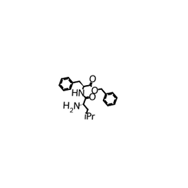 CC(C)C[C@H](N)C(=O)N[C@@H](Cc1ccccc1)C(=O)OCc1ccccc1